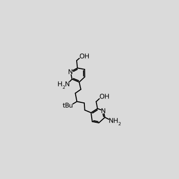 CC(C)(C)C(CCc1ccc(CO)nc1N)CCc1ccc(N)nc1CO